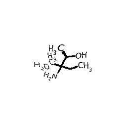 CCC(C)(N)C(C)O.O